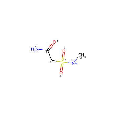 CNS(=O)(=O)CC(N)=O